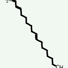 C=CC=CCCCCCC=CCCCCCCC